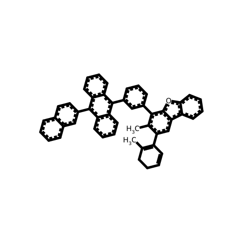 CC1=C(c2cc3c(oc4ccccc43)c(-c3cccc(-c4c5ccccc5c(-c5ccc6ccccc6c5)c5ccccc45)c3)c2C)C=CCC1